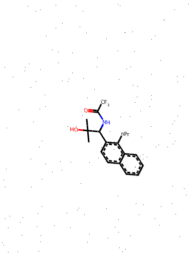 CCCc1c(C(NC(=O)C(F)(F)F)C(C)(C)O)ccc2ccccc12